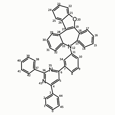 c1ccc(-c2cc(-c3cccc(N4c5ccccc5-c5oc6ccccc6c5-c5ccccc54)c3)nc(-c3ccccc3)n2)cc1